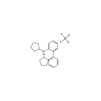 F[B-](F)(F)F.c1ccc(-c2ccccc2[PH+](C2CCCC2)C2CCCC2)cc1